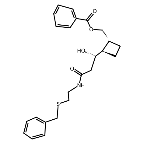 O=C(C[C@H](O)[C@@H]1CC[C@H]1COC(=O)c1ccccc1)NCCSCc1ccccc1